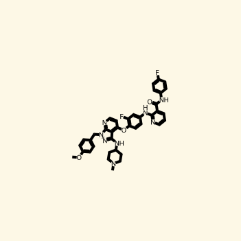 COc1ccc(Cn2nc(NC3CCN(C)CC3)c3c(Oc4ccc(Nc5ncccc5C(=O)Nc5ccc(F)cc5)cc4F)ccnc32)cc1